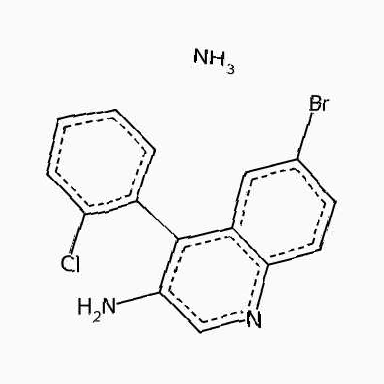 N.Nc1cnc2ccc(Br)cc2c1-c1ccccc1Cl